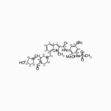 COc1c(NC(=O)c2cc3cccc(CN4CCN(C(=O)[C@@H]5C[C@H](O)CN5C)CC4)c3n2C)cc(C(C)(C)C)cc1NS(C)(=O)=O